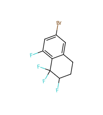 Fc1cc(Br)cc2c1C(F)(F)C(F)CC2